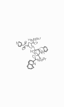 CC(C)[C@H](NC(=O)c1ccc2ccccc2n1)C(=O)N[C@@H](Cc1ccccc1)[C@H](O)CN1CC[C@@H](S(=O)(=O)c2ccncc2)CC1C(=O)NC(C)(C)C